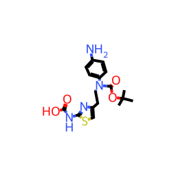 CC(C)(C)OC(=O)N(CCc1csc(NC(=O)O)n1)c1ccc(N)cc1